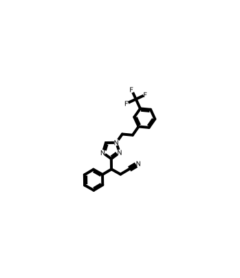 N#CCC(c1ccccc1)c1ncn(CCc2cccc(C(F)(F)F)c2)n1